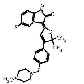 CN1CCN(Cc2ccc(C3=CC(=C4C(=O)Nc5ccc(F)cc54)OC3(C)C)cc2)CC1